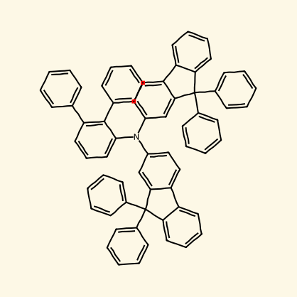 c1ccc(-c2cccc(N(c3ccc4c(c3)C(c3ccccc3)(c3ccccc3)c3ccccc3-4)c3ccc4c(c3)C(c3ccccc3)(c3ccccc3)c3ccccc3-4)c2-c2ccccc2)cc1